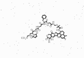 CC[C@@]1(O)C(=O)OCc2c1cc1n(c2=O)Cc2c-1nc1c3c2[C@@H](NC(=O)C(C)(C)OCNC(=O)CNC(=O)[C@H](Cc2ccccc2)NC(=O)CNC(=O)CNC(=O)C(CNCC(=O)O)N2C(=O)C=CC2=O)CCC3(C)C(C)C(F)=C1